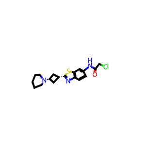 O=C(CCl)Nc1ccc2nc([C@H]3C[C@@H](N4CCCCC4)C3)sc2c1